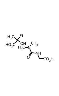 CCC(C)(O)C(=O)O.CN(C)C(=O)NCC(=O)O